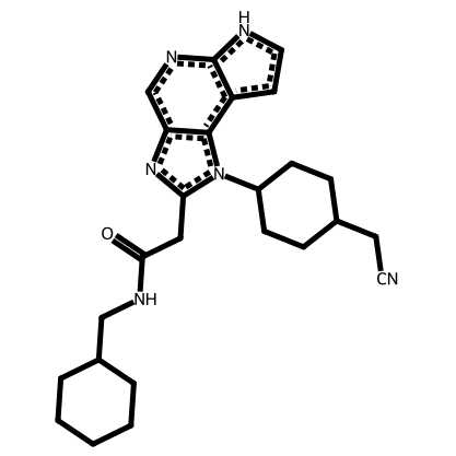 N#CCC1CCC(n2c(CC(=O)NCC3CCCCC3)nc3cnc4[nH]ccc4c32)CC1